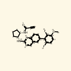 C#CC(=O)N[C@H]1CCC[C@H]1Nc1ncc2cc(-c3c(F)ccc(OC)c3F)ccc2n1